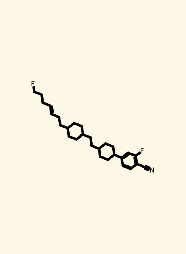 N#Cc1ccc(C2CCC(CCC3CCC(CCC=CCCCF)CC3)CC2)cc1F